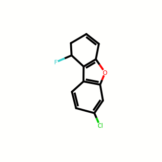 FC1CC=Cc2oc3cc(Cl)ccc3c21